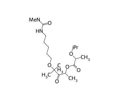 CNC(=O)NCCCCCOC(C)(C)C(=O)C(C)OC(=O)C(C)OC(C)C